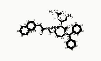 CCC(NC(=N)N)[C@@H]1N[C@H](CNC(=O)Cc2ccc3ccccc3c2)CCN(C(c2ccccc2)c2ccccc2)C1=O